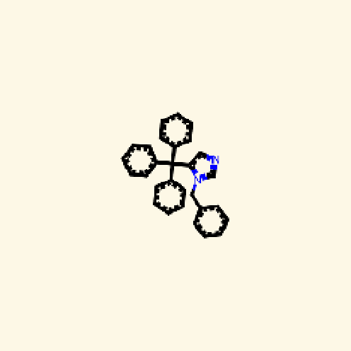 c1ccc(Cn2cncc2C(c2ccccc2)(c2ccccc2)c2ccccc2)cc1